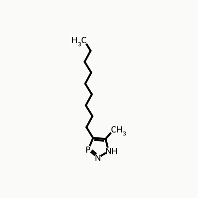 CCCCCCCCCc1pn[nH]c1C